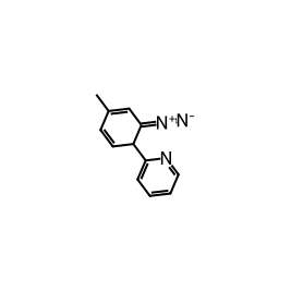 CC1=CC(=[N+]=[N-])C(c2ccccn2)C=C1